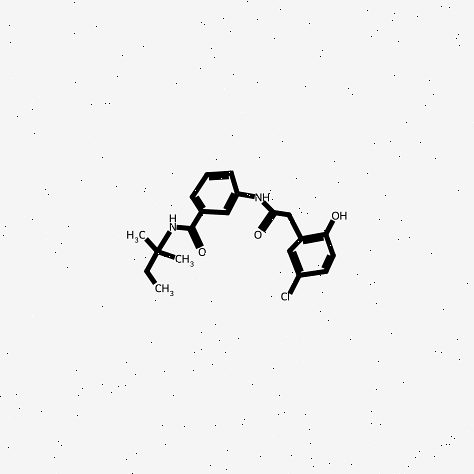 CCC(C)(C)NC(=O)c1cccc(NC(=O)Cc2cc(Cl)ccc2O)c1